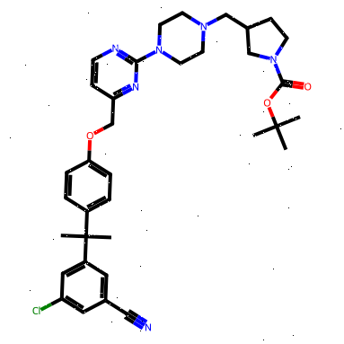 CC(C)(C)OC(=O)N1CCC(CN2CCN(c3nccc(COc4ccc(C(C)(C)c5cc(Cl)cc(C#N)c5)cc4)n3)CC2)C1